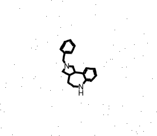 c1ccc(CN2CC3CCNc4ccccc4C3C2)cc1